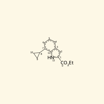 CCOC(=O)c1cc2cccc(C3CC3)c2[nH]1